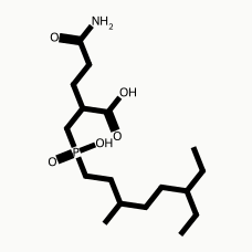 CCC(CC)CCC(C)CCP(=O)(O)CC(CCC(N)=O)C(=O)O